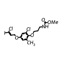 COC(=O)NCCCOc1c(C)cc(OC/C=C(\Cl)I)cc1Cl